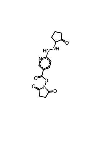 O=C(ON1C(=O)CCC1=O)c1ccc(NNC2CCCC2=O)nc1